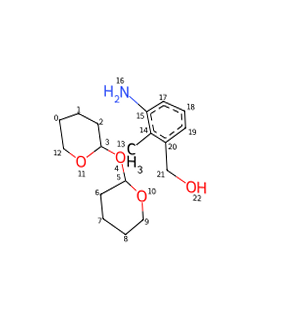 C1CCC(OC2CCCCO2)OC1.Cc1c(N)cccc1CO